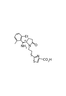 CCc1cccc(C)c1C(N)[C@H]1CCC(=O)N1CCSc1nc(C(=O)O)cs1